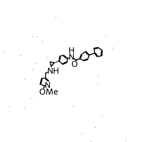 COc1ccc(CN[C@@H]2C[C@H]2c2ccc(NC(=O)c3ccc(-c4ccccc4)cc3)cc2)cn1